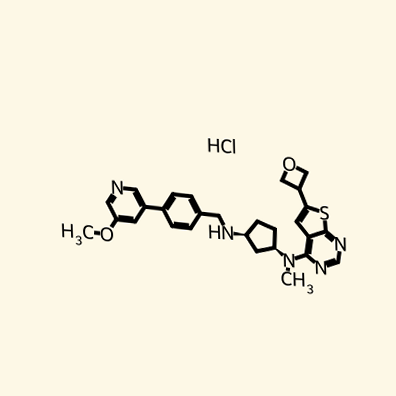 COc1cncc(-c2ccc(CN[C@H]3CC[C@@H](N(C)c4ncnc5sc(C6COC6)cc45)C3)cc2)c1.Cl